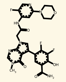 Cn1cnc2c(c(-c3cc(C(N)=O)c(O)c(F)c3F)cn2CC(=O)Nc2cc(N3CCOCC3)ncc2F)c1=O